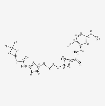 O=C(CN1CC(F)(F)C1)Nc1cn(CCCCn2cc(C(=O)NCc3cc(OC(F)(F)F)ccc3F)[nH]2)nn1